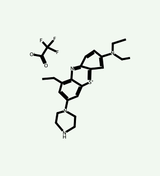 CCc1cc(N2CCNCC2)cc2[s+]c3cc(N(CC)CC)ccc3nc12.O=C([O-])C(F)(F)F